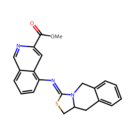 COC(=O)c1cc2c(N=C3SCC4Cc5ccccc5CN34)cccc2cn1